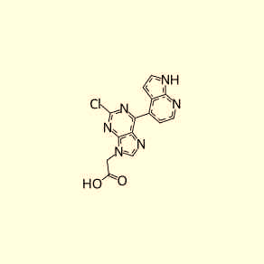 O=C(O)Cn1cnc2c(-c3ccnc4[nH]ccc34)nc(Cl)nc21